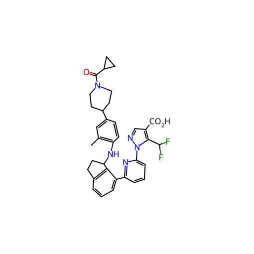 Cc1cc(C2CCN(C(=O)C3CC3)CC2)ccc1NC1CCc2cccc(-c3cccc(-n4ncc(C(=O)O)c4C(F)F)n3)c21